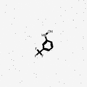 OBc1cccc(C(F)(F)F)c1